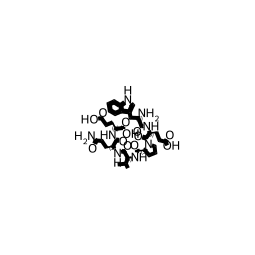 CC(C)[C@H](NC(=O)[C@@H]1CCCN1C(=O)[C@H](CCC(=O)O)NC(=O)[C@@H](N)Cc1c[nH]c2ccccc12)C(=O)N[C@@H](CCC(N)=O)C(=O)N[C@@H](CCC(=O)O)C(=O)O